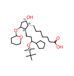 CC(C)(C)[Si](C)(C)OC(CC[C@H]1C(OC2CCCCO2)C[C@H](O)[C@@H]1CCCCCCC(=O)O)C1CCCC1